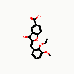 CCOc1c(C=C2Oc3ccc(C(=O)O)cc3C2=O)cccc1OC